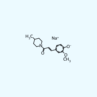 COc1cc(C=CC(=O)N2CCC(C)CC2)ccc1[O-].[Na+]